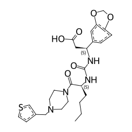 CCCC[C@H](NC(=O)N[C@@H](CC(=O)O)c1ccc2c(c1)OCO2)C(=O)N1CCN(Cc2ccsc2)CC1